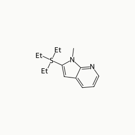 CCS(CC)(CC)c1cc2cccnc2n1C